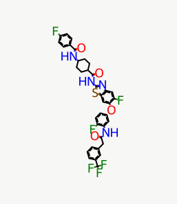 O=C(Cc1cccc(C(F)(F)F)c1)Nc1cc(Oc2cc3sc(NC(=O)C4CCC(NC(=O)c5ccc(F)cc5)CC4)nc3cc2F)ccc1F